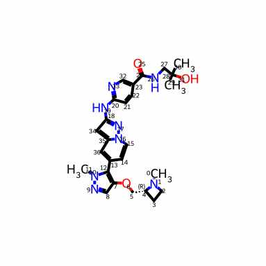 CN1CC[C@@H]1COc1cnn(C)c1-c1ccn2nc(Nc3ccc(C(=O)NCC(C)(C)O)cn3)cc2c1